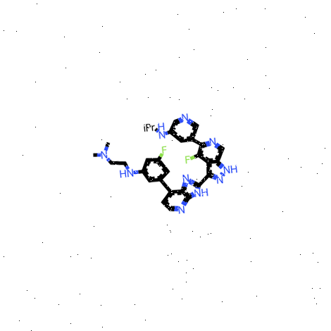 CC(C)Nc1cncc(-c2ncc3[nH]nc(-c4nc5c(-c6cc(F)cc(NCCN(C)C)c6)ccnc5[nH]4)c3c2F)c1